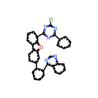 Clc1nc(-c2ccccc2)nc(-c2cccc3c2oc2cc(-c4ccccc4-c4ncnc5ccccc45)ccc23)n1